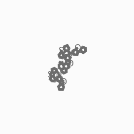 CC1(C)CCc2c(N(c3ccc4c(c3)oc3ccccc34)c3cccc4sc5ccccc5c34)ccc3cc4oc5cc(N(c6ccc7c(c6)oc6ccccc67)c6cccc7sc8ccccc8c67)ccc5c4c1c23